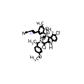 COc1ccc([C@@H](C)NC(=O)c2[nH]c3ccc(Cl)cc3c2[P@](=O)(OC)c2cc(C)cc(/C=C/C#N)c2)cc1